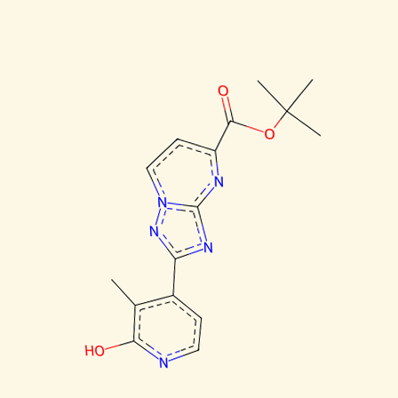 Cc1c(-c2nc3nc(C(=O)OC(C)(C)C)ccn3n2)ccnc1O